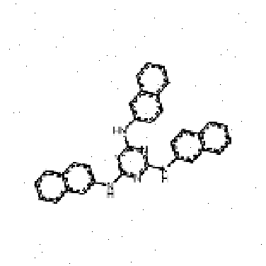 c1ccc2cc(Nc3nc(Nc4ccc5ccccc5c4)nc(Nc4ccc5ccccc5c4)n3)ccc2c1